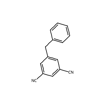 N#Cc1cc(C#N)cc(Cc2ccccc2)c1